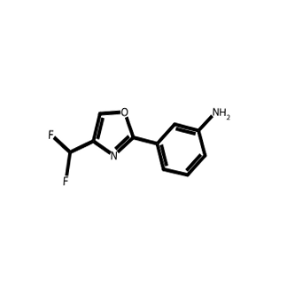 Nc1cccc(-c2nc(C(F)F)co2)c1